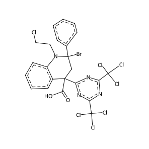 O=C(O)C1(c2nc(C(Cl)(Cl)Cl)nc(C(Cl)(Cl)Cl)n2)CC(Br)(c2ccccc2)N(CCCl)c2ccccc21